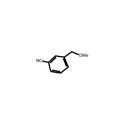 [CH2-][OH+]Cc1cccc(C#N)c1